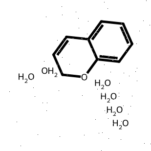 C1=Cc2ccccc2OC1.O.O.O.O.O.O